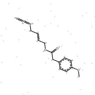 COc1ccc(CC(=O)OC/C=C/CN=[N+]=[N-])cc1